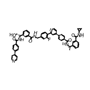 C[C@@H](NC(=O)c1ccc(-c2ccnc(-c3ccc(CNC(=O)c4cccc([C@@H](CO)NC(=O)c5ccc(-c6ccncc6)cc5)c4)cc3F)c2)cc1)c1cccc(C(=O)NC2CC2)c1